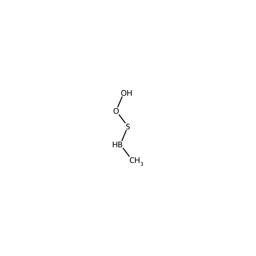 CBSOO